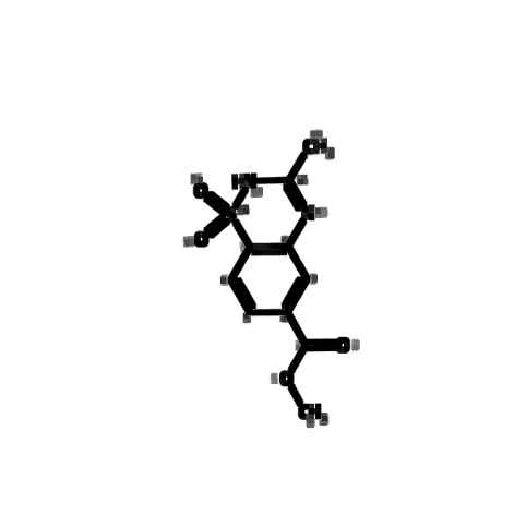 COC(=O)c1ccc2c(c1)N=C(C)NS2(=O)=O